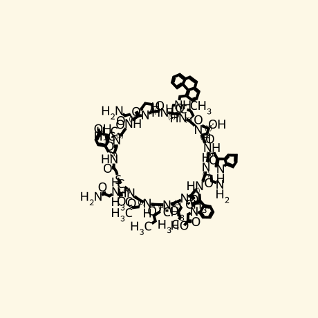 CCCC[C@H]1C(=O)N(C)[C@@H](CCCC)C(=O)N[C@@H](CC(C)C)C(=O)N[C@H](C(=O)NCC(N)=O)CSCC(=O)N[C@@H](Cc2ccc(O)cc2)C(=O)N(C)[C@@H](C)C(=O)N[C@@H](CC(N)=O)C(=O)N2CCC[C@H]2C(=O)N[C@@H](CNCc2cccc3ccc4ccccc4c23)C(=O)N[C@@H](CC(C)C)C(=O)N2C[C@H](O)C[C@H]2C(=O)N[C@@H](Cc2c[nH]c3ccccc23)C(=O)N[C@@H](CCN)C(=O)N[C@@H](Cc2cn(CC(=O)O)c3ccccc23)C(=O)N1C